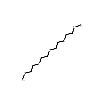 CCOCCOCC[N]CCOCCOCC